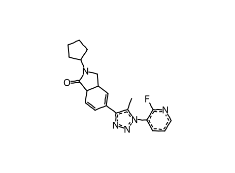 Cc1c(C2=CC3CN(C4CCCC4)C(=O)C3C=C2)nnn1-c1cccnc1F